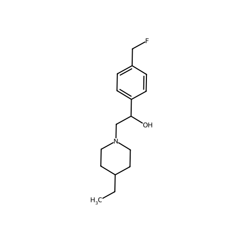 CCC1CCN(CC(O)c2ccc(CF)cc2)CC1